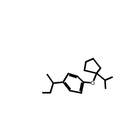 CCC(C)c1ccc(OC2(C(C)C)CCCC2)cc1